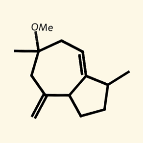 C=C1CC(C)(OC)CC=C2C(C)CCC12